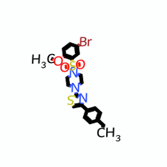 CCc1ccc(-c2csc(N3CCN(S(=O)(=O)c4cc(Br)ccc4OC)CC3)n2)cc1